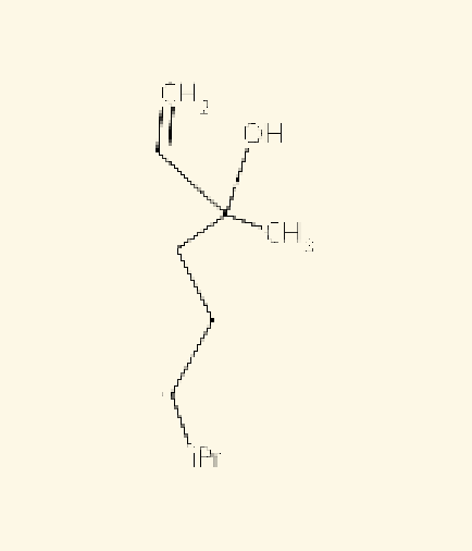 C=CC(C)(O)CC[CH]C(C)C